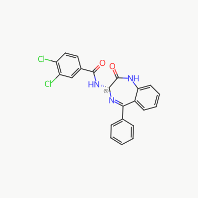 O=C(N[C@H]1N=C(c2ccccc2)c2ccccc2NC1=O)c1ccc(Cl)c(Cl)c1